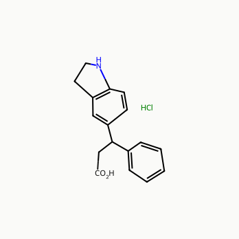 Cl.O=C(O)CC(c1ccccc1)c1ccc2c(c1)CCN2